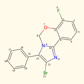 Fc1cccc2c1OCn1c-2nc(Br)c1-c1ccccc1